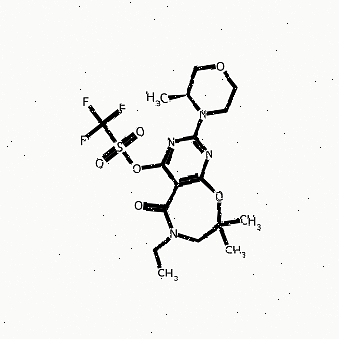 CCN1CC(C)(C)Oc2nc(N3CCOC[C@@H]3C)nc(OS(=O)(=O)C(F)(F)F)c2C1=O